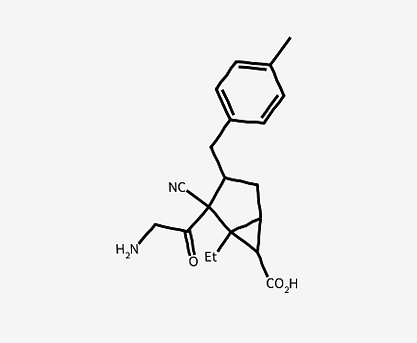 CCC12C(CC(Cc3ccc(C)cc3)C1(C#N)C(=O)CN)C2C(=O)O